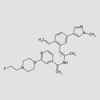 C=Cc1ccc(-c2cnn(C)c2)cc1/C=C(\C)NC(=C)c1ccnc(N2CCN(CCF)CC2)c1